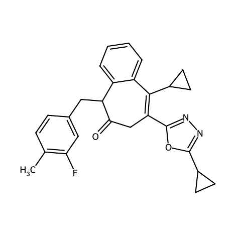 Cc1ccc(CC2C(=O)CC(c3nnc(C4CC4)o3)=C(C3CC3)c3ccccc32)cc1F